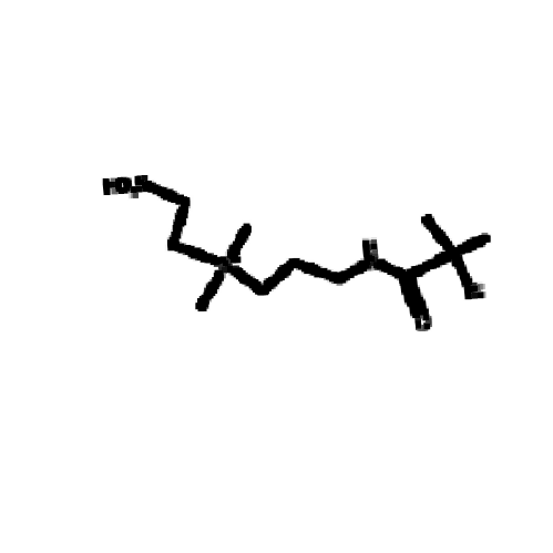 CCC(C)(C)C(=O)NCCC[N+](C)(C)CCS(=O)(=O)O